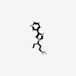 CC[C@H](CCN)n1cnc(-c2cccnc2)c1